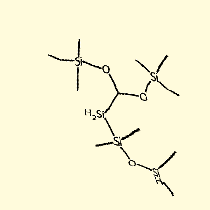 C[SiH](C)O[Si](C)(C)[SiH2]C(O[Si](C)(C)C)O[Si](C)(C)C